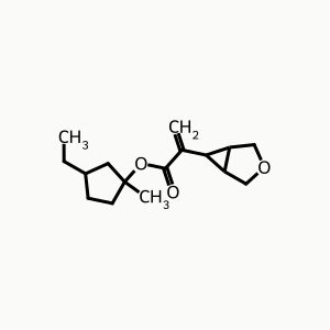 C=C(C(=O)OC1(C)CCC(CC)C1)C1C2COCC21